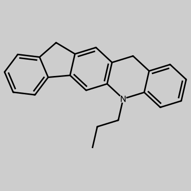 CCCN1c2ccccc2Cc2cc3c(cc21)-c1ccccc1C3